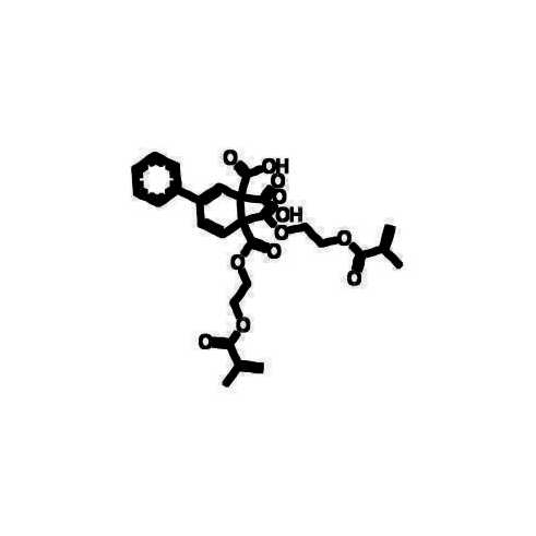 C=C(C)C(=O)OCCOC(=O)C1(C(=O)OCCOC(=O)C(=C)C)C=CC(c2ccccc2)=CC1(C(=O)O)C(=O)O